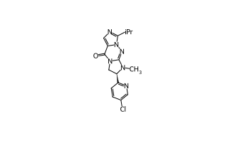 CC(C)c1ncc2c(=O)n3c(nn12)N(C)[C@@H](c1ccc(Cl)cn1)C3